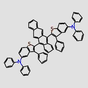 c1ccc(-c2c(-c3c4ccccc4c(-c4sc5ccc(N(c6ccccc6)c6ccccc6)cc5c4-c4ccccc4)c4cc5ccccc5cc34)sc3ccc(N(c4ccccc4)c4ccccc4)cc23)cc1